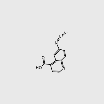 [N-]=[N+]=Nc1ccc2nccc(C(=O)O)c2c1